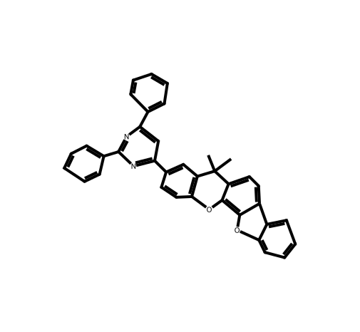 CC1(C)c2cc(-c3cc(-c4ccccc4)nc(-c4ccccc4)n3)ccc2Oc2c1ccc1c2oc2ccccc21